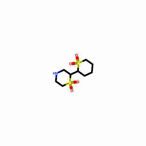 O=S1(=O)CCCCC1C1CNCCS1(=O)=O